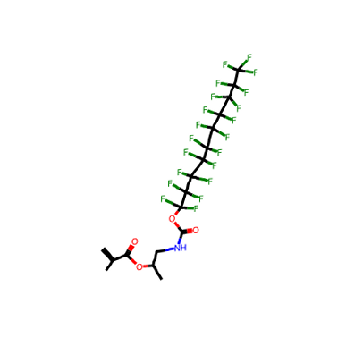 C=C(C)C(=O)OC(C)CNC(=O)OC(F)(F)C(F)(F)C(F)(F)C(F)(F)C(F)(F)C(F)(F)C(F)(F)C(F)(F)C(F)(F)C(F)(F)F